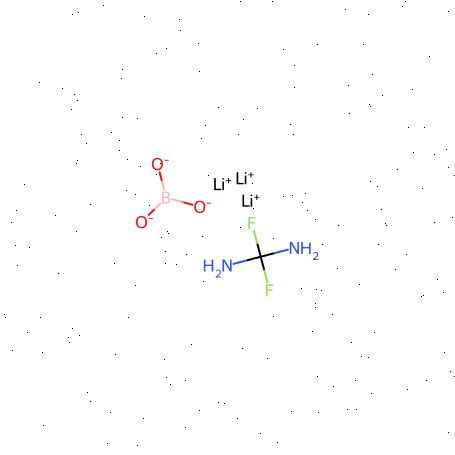 NC(N)(F)F.[Li+].[Li+].[Li+].[O-]B([O-])[O-]